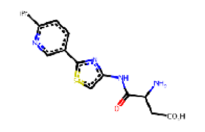 CC(C)c1ccc(-c2nc(NC(=O)C(N)CC(=O)O)cs2)cn1